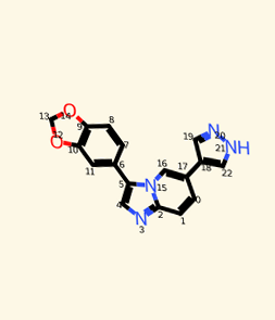 c1cc2ncc(-c3ccc4c(c3)OCO4)n2cc1-c1cn[nH]c1